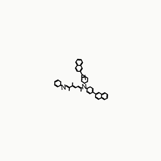 CC(=C\C=C(/C)N(C1C=CC(c2ccc3ccccc3c2)=CC1)C1CCC2C(c3ccc4ccccc4c3)[C@H]2C1)/C(C)=C/N=C1/C=CC=CC1